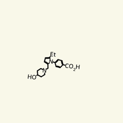 CCc1ccc(CN2CCC(O)CC2)n1-c1ccc(C(=O)O)cc1